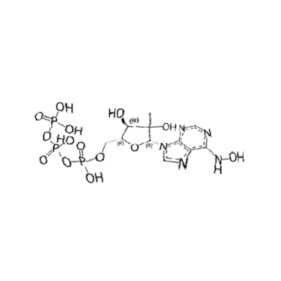 CC1(O)[C@H](O)[C@@H](COP(=O)(O)OP(=O)(O)OP(=O)(O)O)O[C@H]1n1cnc2c(NO)ncnc21